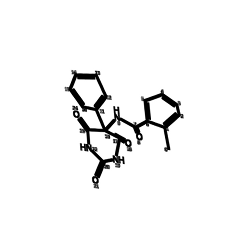 Cc1ccccc1C(=O)NC1(c2ccccc2)C(=O)NC(=O)NC1=O